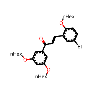 CCCCCCOc1cc(OCCCCCC)cc(C(=O)C=Cc2cc(CC)ccc2OCCCCCC)c1